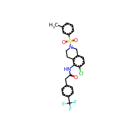 Cc1cccc(S(=O)(=O)N2CCc3c(ccc(Cl)c3NC(=O)Cc3ccc(C(F)(F)F)cc3)C2)c1